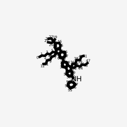 CCCCCCC1(CCCCCC)C2=C(CCC(C(C)(CC)CC)=C2)c2ccc(-c3ccc4c(c3)C(CCCCCC)(CCCCCC)c3cc(Nc5ccccc5)ccc3-4)cc21